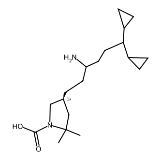 CC1(C)C[C@H](CCC(N)CCC(C2CC2)C2CC2)CN1C(=O)O